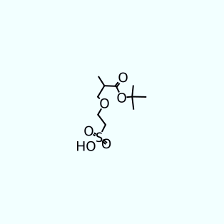 CC(COCCS(=O)(=O)O)C(=O)OC(C)(C)C